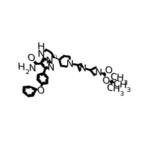 CC(C)(C)OC(=O)N1CC(N2CC(N3CCC([C@@H]4CCNc5c(C(N)=O)c(-c6ccc(Oc7ccccc7)cc6)nn54)CC3)C2)C1